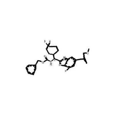 C=C(COC)c1cc(F)c2oc([C@@H](NC(=O)OCc3ccccc3)C3CCC(F)(F)CC3)nc2c1